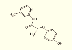 Cc1ccnc(NC(=O)[C@@H](C)Oc2ccc(O)cc2)c1